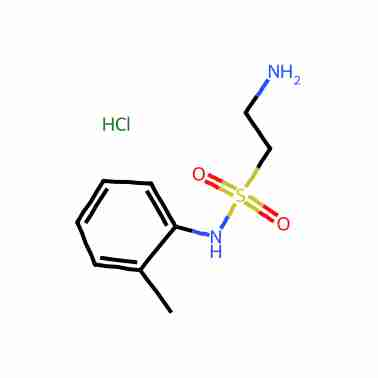 Cc1ccccc1NS(=O)(=O)CCN.Cl